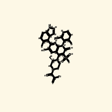 C=C(F)C(=O)N1CCN(c2c(S(C)(=O)=O)c(=S)n(-c3c(C)ccnc3C(C)C)c3nc(-c4c(C)ccc5[nH]ncc45)c(F)cc23)[C@@H](C)C1